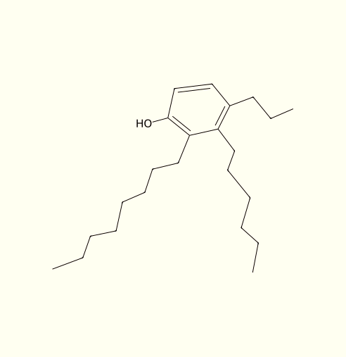 CCCCCCCCc1c(O)ccc(CCC)c1CCCCCC